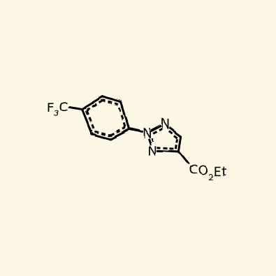 CCOC(=O)c1cnn(-c2ccc(C(F)(F)F)cc2)n1